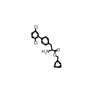 NC(Cc1ccc(-c2cc(Cl)ccc2Cl)cc1)C(=O)OCc1ccccc1